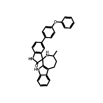 CC1CCc2c([nH]c3ccccc23)C2(N1)C(=O)Nc1ccc(-c3ccc(Oc4ccccc4)cc3)cc12